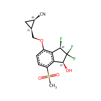 CS(=O)(=O)c1ccc(OC[C@H]2C[C@H]2C#N)c2c1[C@H](O)C(F)(F)[C@@H]2F